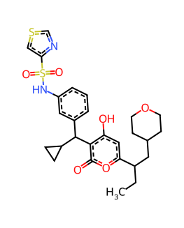 CCC(CC1CCOCC1)c1cc(O)c(C(c2cccc(NS(=O)(=O)c3cscn3)c2)C2CC2)c(=O)o1